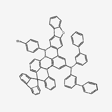 CC(C)(C)c1ccc(N2B3c4cccc5c4N(c4ccccc4C54c5ccccc5-c5ccccc54)c4cc(N(c5cccc(-c6ccccc6)c5)c5cccc(-c6ccccc6)c5)cc(c43)-c3cc4oc5ccccc5c4cc32)cc1